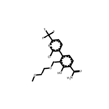 COCCOCc1c(-c2ccc(C(F)(F)F)nc2Cl)ccc(C(N)=O)c1O